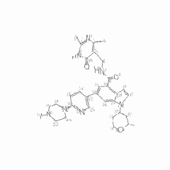 Cc1nc(C)c(CNC(=O)c2cc(-c3ccc(N4CCN(I)CC4)nc3)cc3c2ccn3C2CCOCC2)c(=O)[nH]1